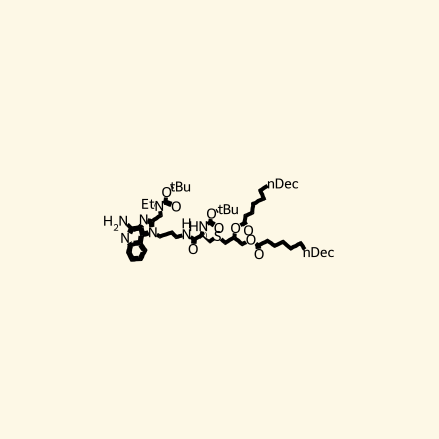 CCCCCCCCCCCCCCCC(=O)OCC(CSC[C@H](NC(=O)OC(C)(C)C)C(=O)NCCCn1c(CN(CC)C(=O)OC(C)(C)C)nc2c(N)nc3ccccc3c21)OC(=O)CCCCCCCCCCCCCCC